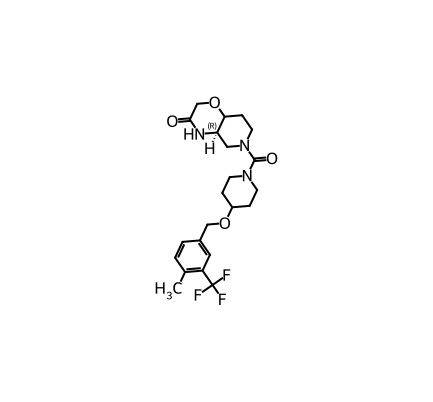 Cc1ccc(COC2CCN(C(=O)N3CCC4OCC(=O)N[C@@H]4C3)CC2)cc1C(F)(F)F